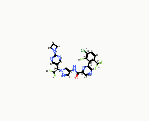 O=C(Nc1cnn([C@H](c2cnc(N3CCC3)nc2)C(F)F)c1)c1cncc(-c2c(C(F)F)ccc(Cl)c2F)n1